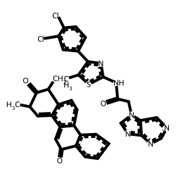 CC1C=c2c(ccc3c2=CC(=O)c2ccccc2-3)C(C)C1=O.Cc1sc(NC(=O)Cn2cnc3ncncc32)nc1-c1ccc(Cl)c(Cl)c1